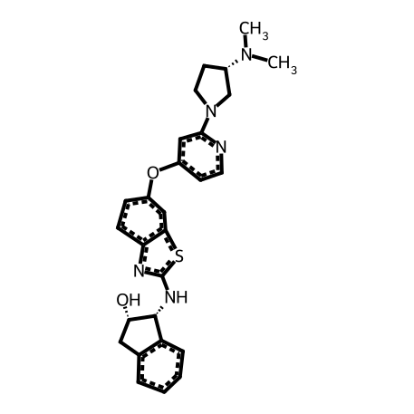 CN(C)[C@H]1CCN(c2cc(Oc3ccc4nc(N[C@@H]5c6ccccc6C[C@@H]5O)sc4c3)ccn2)C1